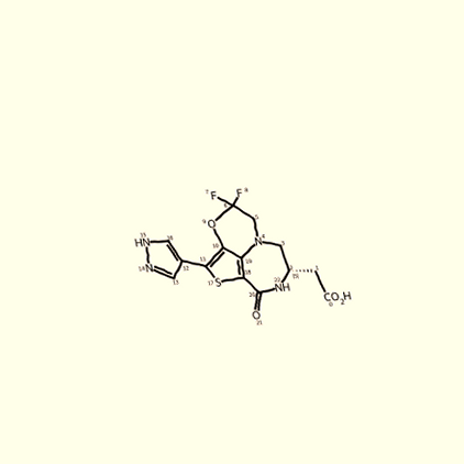 O=C(O)C[C@H]1CN2CC(F)(F)Oc3c(-c4cn[nH]c4)sc(c32)C(=O)N1